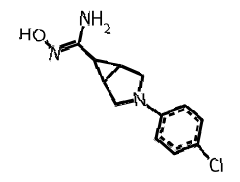 N/C(=N\O)C1C2CN(c3ccc(Cl)cc3)CC21